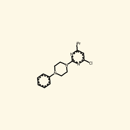 CC(C)c1cc(Cl)nc(N2CCN(c3ccccc3)CC2)n1